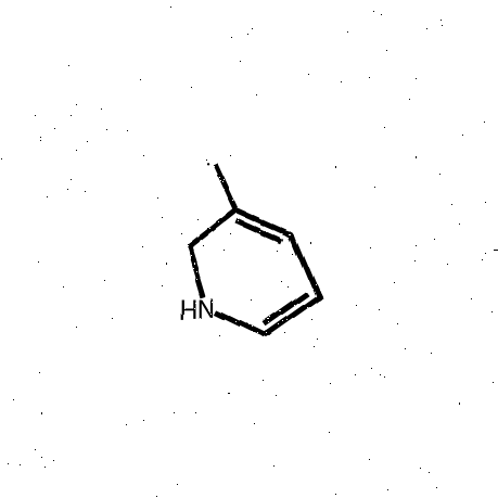 [CH2]C1=CC=CNC1